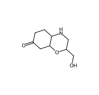 O=C1CCC2NCC(CO)OC2C1